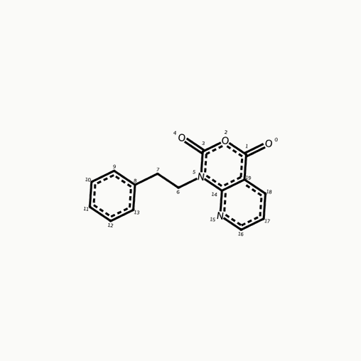 O=c1oc(=O)n(CCc2ccccc2)c2ncccc12